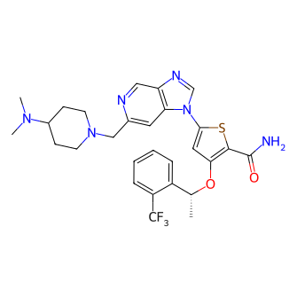 C[C@@H](Oc1cc(-n2cnc3cnc(CN4CCC(N(C)C)CC4)cc32)sc1C(N)=O)c1ccccc1C(F)(F)F